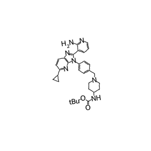 CC(C)(C)OC(=O)NC1CCN(Cc2ccc(-n3c(-c4cccnc4N)nc4ccc(C5CC5)nc43)cc2)CC1